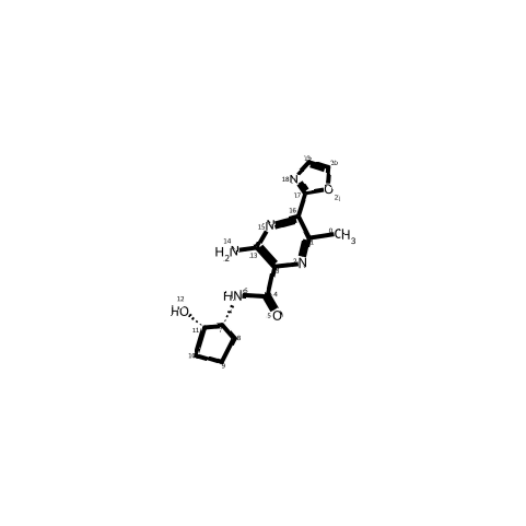 Cc1nc(C(=O)N[C@@H]2CCC[C@@H]2O)c(N)nc1-c1ncco1